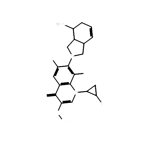 CNC1CC=CC2CN(c3c(F)cc4c(=O)c(OC(=O)O)cn(C5CC5F)c4c3F)CC21